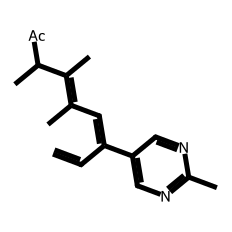 C=C/C(=C\C(C)=C(/C)C(C)C(C)=O)c1cnc(C)nc1